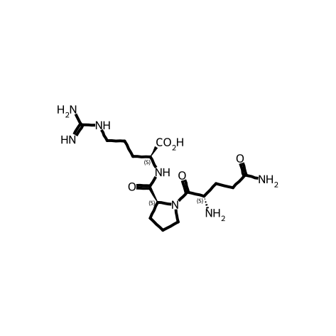 N=C(N)NCCC[C@H](NC(=O)[C@@H]1CCCN1C(=O)[C@@H](N)CCC(N)=O)C(=O)O